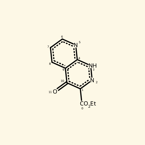 CCOC(=O)c1n[nH]c2ncccc2c1=O